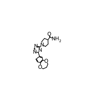 NC(=O)C1CCN(c2ncnc(-c3ccc4c(c3)OCCCO4)n2)CC1